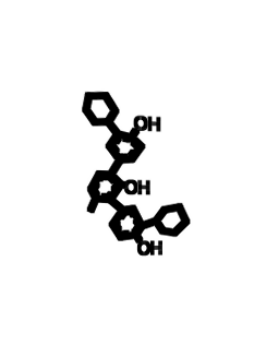 Cc1ccc(-c2ccc(O)c(C3CCCCC3)c2)c(O)c1-c1ccc(O)c(C2CCCCC2)c1